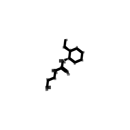 CC[C@H]1CCCC[C@@H]1NC(=S)NCCO